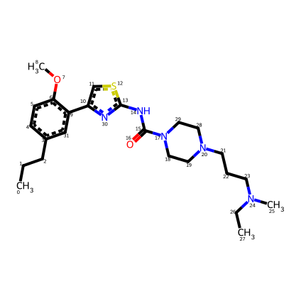 CCCc1ccc(OC)c(-c2csc(NC(=O)N3CCN(CCCN(C)CC)CC3)n2)c1